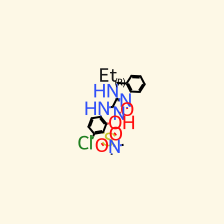 CC[C@@H](Nc1nonc1Nc1ccc(Cl)c(S(=O)(=O)N(C)C)c1O)c1ccccc1